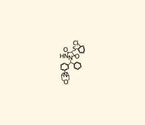 O=C1NN(C(c2ccccc2)c2cccc(N3C4CCC3COC4)c2)C(=O)C1Sc1ccccc1Cl